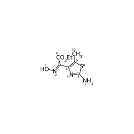 CCOC(=O)/C(=N\O)c1nc(N)sc1C